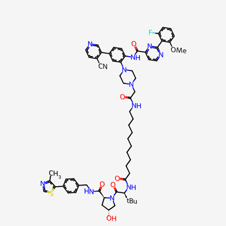 COc1cccc(F)c1-c1nccc(C(=O)Nc2ccc(-c3cnccc3C#N)cc2N2CCN(CC(=O)NCCCCCCCCCCC(=O)N[C@H](C(=O)N3C[C@H](O)C[C@H]3C(=O)NCc3ccc(-c4scnc4C)cc3)C(C)(C)C)CC2)n1